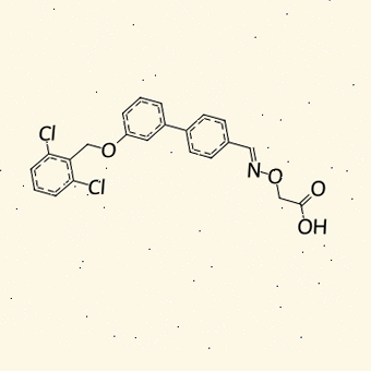 O=C(O)CO/N=C/c1ccc(-c2cccc(OCc3c(Cl)cccc3Cl)c2)cc1